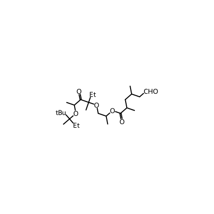 CCC(C)(OCC(C)OC(=O)C(C)CC(C)CC=O)C(=O)C(C)OC(C)(CC)C(C)(C)C